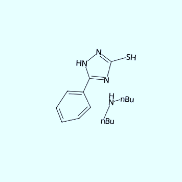 CCCCNCCCC.Sc1n[nH]c(-c2ccccc2)n1